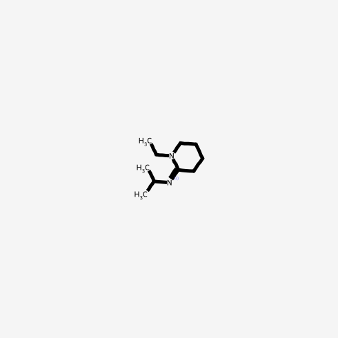 CCN1CCCC/C1=N/C(C)C